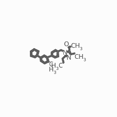 CCCc1nc(CC)c(C(C)=O)n1Cc1ccc(-c2cc(-c3ccccc3)ccc2C)cc1